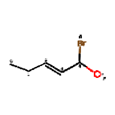 CC/C=C/C([O])Br